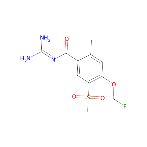 Cc1cc(OCF)c(S(C)(=O)=O)cc1C(=O)N=C(N)N